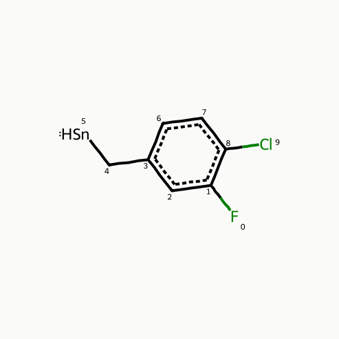 Fc1cc([CH2][SnH])ccc1Cl